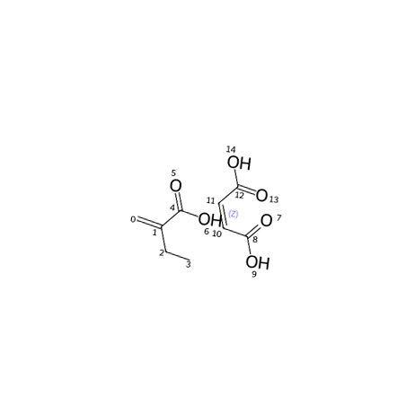 C=C(CC)C(=O)O.O=C(O)/C=C\C(=O)O